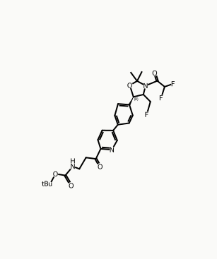 CC(C)(C)OC(=O)NCCC(=O)c1ccc(-c2ccc([C@H]3OC(C)(C)N(C(=O)C(F)F)C3CF)cc2)cn1